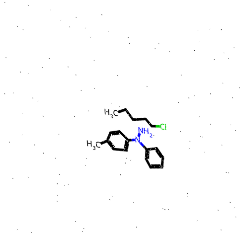 CCCCCCl.Cc1ccc(N(N)c2ccccc2)cc1